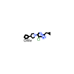 COc1cccc(C2CCN(c3cnn4c(CC5CC5)nnc4c3Cl)CC2)c1